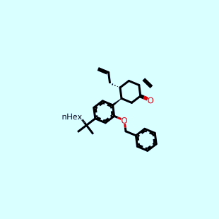 C=C.C=CC[C@@H]1CCC(=O)C[C@H]1c1ccc(C(C)(C)CCCCCC)cc1OCc1ccccc1